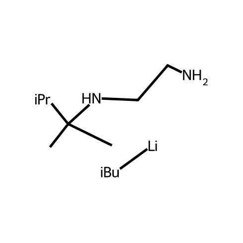 CC(C)C(C)(C)NCCN.[Li][CH](C)CC